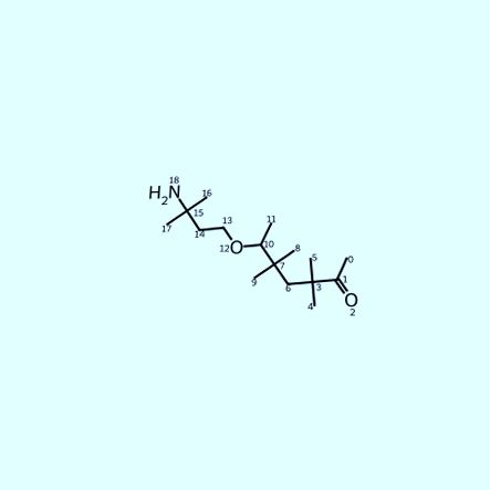 CC(=O)C(C)(C)CC(C)(C)C(C)OCCC(C)(C)N